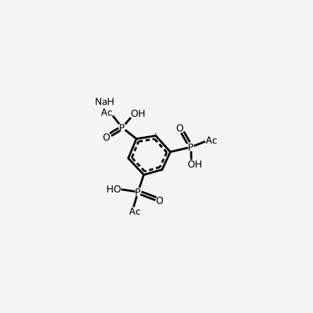 CC(=O)P(=O)(O)c1[c]c(P(=O)(O)C(C)=O)cc(P(=O)(O)C(C)=O)c1.[NaH]